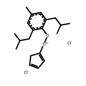 Cc1cc(CC(C)C)c([O][Ti+2][C]2=CC=CC2)c(CC(C)C)c1.[Cl-].[Cl-]